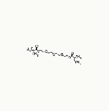 C=C(C)C(=O)OCCOCCOCCOCCOC(=O)C(C)=CC